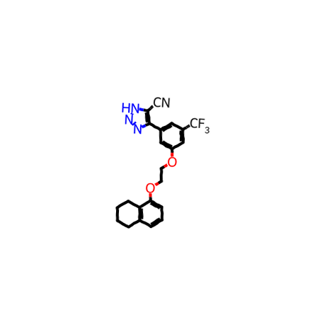 N#Cc1[nH]nnc1-c1cc(OCCOc2cccc3c2CCCC3)cc(C(F)(F)F)c1